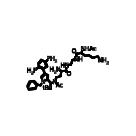 CC(=O)NC(CCCCN)C(=O)NCCNC(=O)C(N)CCN(C(C)=O)C(c1cc(-c2cc(P)ccc2P)cn1Cc1ccccc1)C(C)(C)C